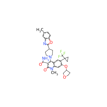 Cc1ccc2oc(C3CCN(c4c(C(N)=O)c(=O)n(C)c5cc(OC6CCOC6)c(C6(C(F)(F)F)CC6)cc45)CC3)nc2c1